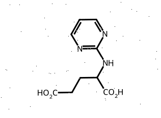 O=C(O)CCC(Nc1ncccn1)C(=O)O